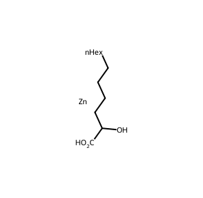 CCCCCCCCCCC(O)C(=O)O.[Zn]